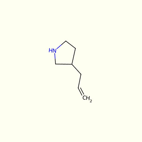 C=CCC1CCNC1